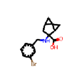 O=C(O)C1(NCc2cccc(Br)c2)CC2CC23CC13